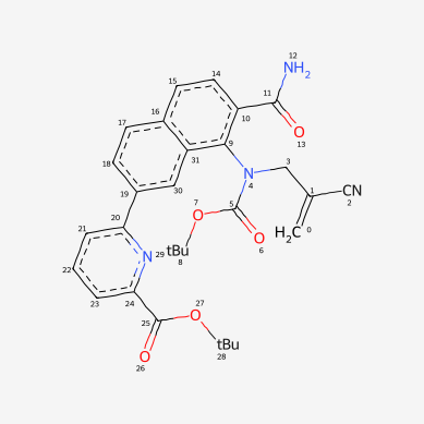 C=C(C#N)CN(C(=O)OC(C)(C)C)c1c(C(N)=O)ccc2ccc(-c3cccc(C(=O)OC(C)(C)C)n3)cc12